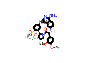 CCOc1cc(C(Nc2ccc3c(N)nccc3c2)C(=O)N2CC[C@H](C(=O)O)[C@H]2c2cc(NC(C)=O)ccc2S(=O)(=O)C(C)C)ccc1OC(C)C